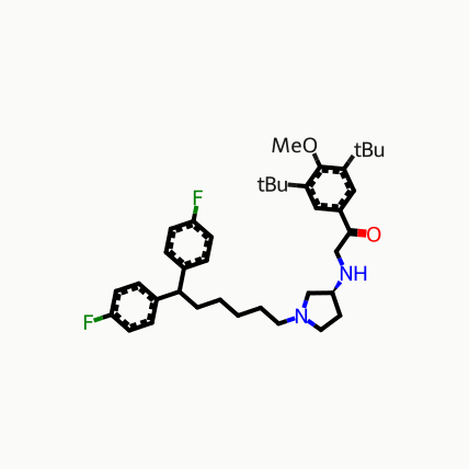 COc1c(C(C)(C)C)cc(C(=O)CN[C@H]2CCN(CCCCCC(c3ccc(F)cc3)c3ccc(F)cc3)C2)cc1C(C)(C)C